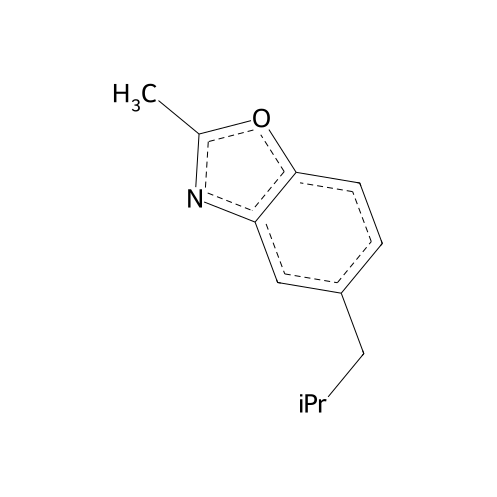 Cc1nc2cc(CC(C)C)ccc2o1